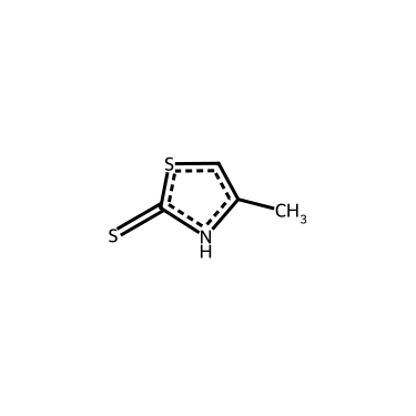 Cc1csc(=S)[nH]1